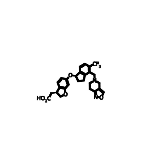 O=C(O)C[C@@H]1COc2cc(O[C@@H]3CCc4c3ccc(C(F)(F)F)c4CN3CCc4nocc4C3)ccc21